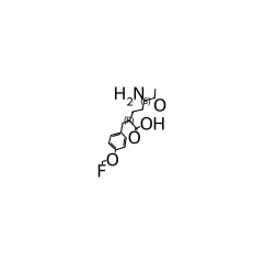 CC(=O)[C@@H](N)CC[C@H](Cc1ccc(OCF)cc1)C(=O)O